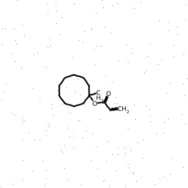 C=CC(=O)OC1(C)CCCCCCCCC1